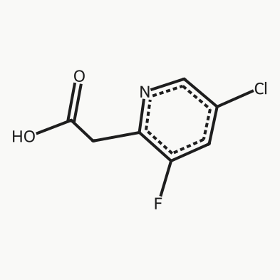 O=C(O)Cc1ncc(Cl)cc1F